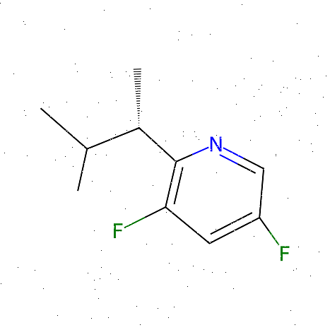 CC(C)[C@H](C)c1ncc(F)cc1F